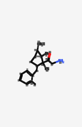 CCC12C(CC(Cc3ccccc3C)C1(C#N)C(=O)CN)C2C(=O)O